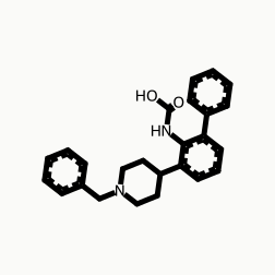 O=C(O)Nc1c(-c2ccccc2)cccc1C1CCN(Cc2ccccc2)CC1